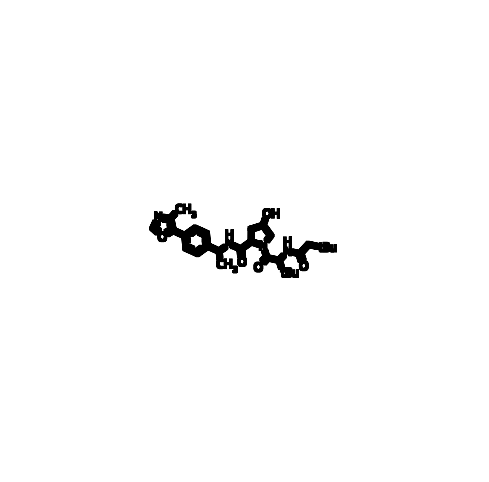 Cc1ncoc1-c1ccc(C(C)NC(=O)C2CC(O)CN2C(=O)C(NC(=O)CC(C)(C)C)C(C)(C)C)cc1